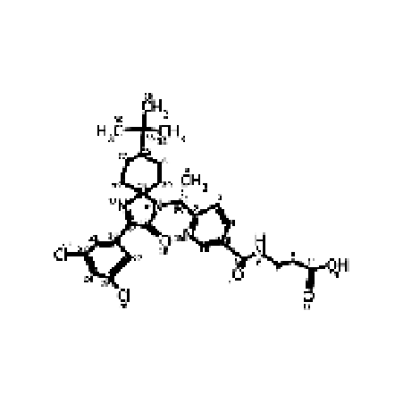 C[C@H](c1ccc(C(=O)NCCC(=O)O)cn1)N1C(=O)C(c2cc(Cl)cc(Cl)c2)=NC12CCC(C(C)(C)C)CC2